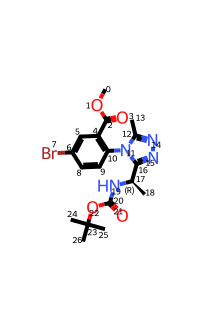 COC(=O)c1cc(Br)ccc1-n1c(C)nnc1[C@@H](C)NC(=O)OC(C)(C)C